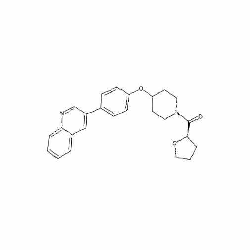 O=C([C@H]1CCCO1)N1CCC(Oc2ccc(-c3cnc4ccccc4c3)cc2)CC1